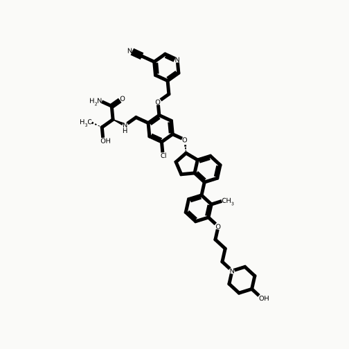 Cc1c(OCCCN2CCC(O)CC2)cccc1-c1cccc2c1CC[C@@H]2Oc1cc(OCc2cncc(C#N)c2)c(CN[C@H](C(N)=O)[C@@H](C)O)cc1Cl